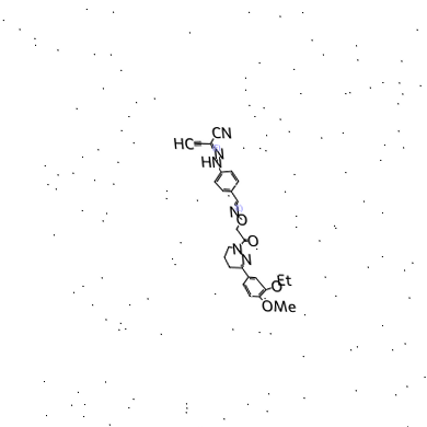 C#C/C(C#N)=N\Nc1ccc(/C=N/OCC(=O)N2CCCC(c3ccc(OC)c(OCC)c3)=N2)cc1